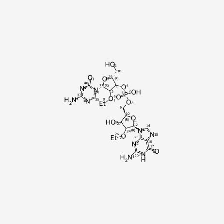 CCOC1C(OP(=O)(O)OC[C@H]2O[C@@H](n3cnc4c(=O)[nH]c(N)nc43)C(OCC)C2O)[C@@H](CO)O[C@H]1n1cnc(N)nc1=O